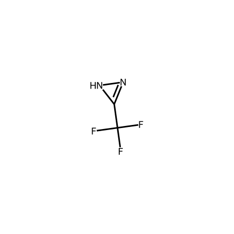 FC(F)(F)C1=NN1